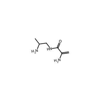 C=C(N)C(=O)NCC(C)N